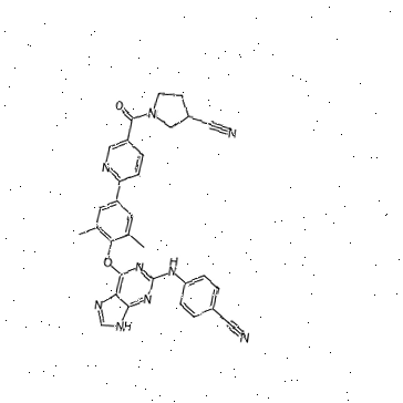 Cc1cc(-c2ccc(C(=O)N3CCC(C#N)C3)cn2)cc(C)c1Oc1nc(Nc2ccc(C#N)cc2)nc2[nH]cnc12